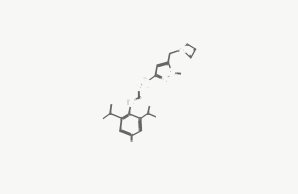 CC(C)c1cc(F)cc(C(C)C)c1NC(=O)NS(=O)(=O)c1cc(CN2CCC2)n(C)n1